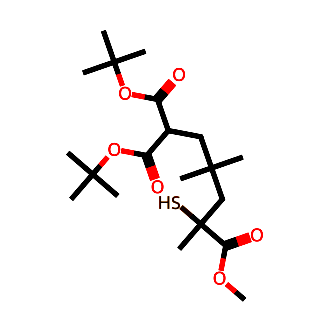 COC(=O)C(C)(S)CC(C)(C)CC(C(=O)OC(C)(C)C)C(=O)OC(C)(C)C